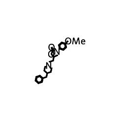 COc1ccc(N2CC(CCN3CCC(Cc4ccccc4)CC3)OC2=O)cc1